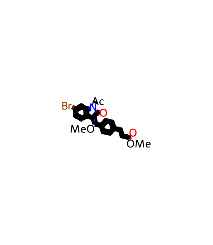 COC(=O)CCc1ccc(/C(OC)=C2\C(=O)N(C(C)=O)c3cc(Br)ccc32)cc1